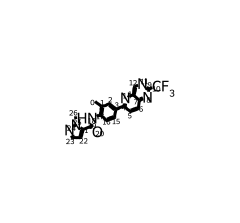 Cc1cc(-c2ccc3nc(C(F)(F)F)ncc3n2)ccc1NC(=O)c1ccnn1C